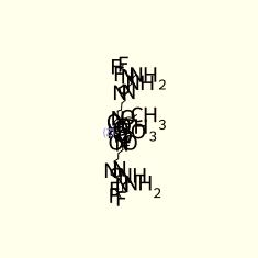 CCOC(=O)N(CCCCc1nccc(NC(N)=NCC(F)(F)F)n1)OC(=O)/C=C\C(=O)ON(CCCCc1nccc(NC(N)=NCC(F)(F)F)n1)C(=O)OCC.O